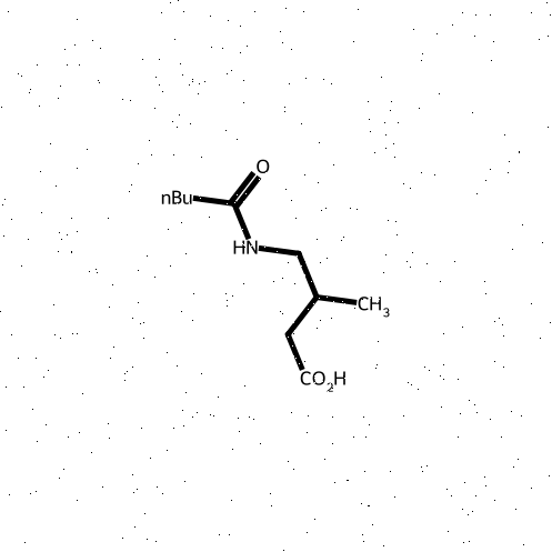 CCCCC(=O)NCC(C)CC(=O)O